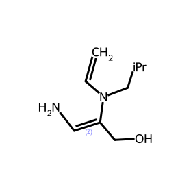 C=CN(CC(C)C)/C(=C\N)CO